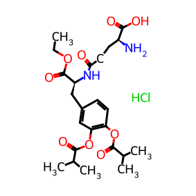 CCOC(=O)[C@H](Cc1ccc(OC(=O)C(C)C)c(OC(=O)C(C)C)c1)NC(=O)CC[C@H](N)C(=O)O.Cl